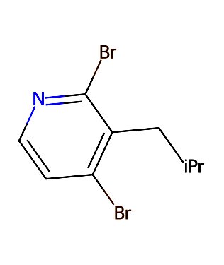 CC(C)Cc1c(Br)ccnc1Br